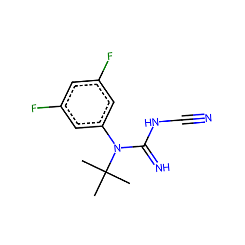 CC(C)(C)N(C(=N)NC#N)c1cc(F)cc(F)c1